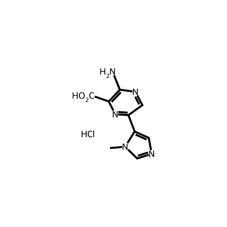 Cl.Cn1cncc1-c1cnc(N)c(C(=O)O)n1